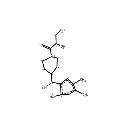 Cc1cc(O)c([C@H](N)C2CCN(C(=O)[C@H](O)CO)CC2)cc1C